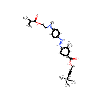 C=C(C)C(=O)OCCN(CC)c1ccc(/N=N/c2ccc(C(=O)OCC#C[Si](C)(C)C)cc2[N+](=O)[O-])cc1